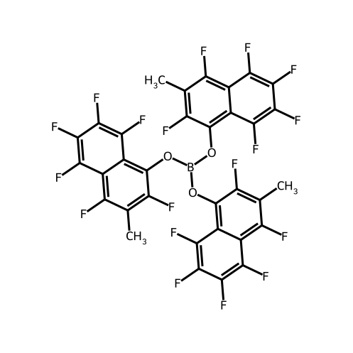 Cc1c(F)c(OB(Oc2c(F)c(C)c(F)c3c(F)c(F)c(F)c(F)c23)Oc2c(F)c(C)c(F)c3c(F)c(F)c(F)c(F)c23)c2c(F)c(F)c(F)c(F)c2c1F